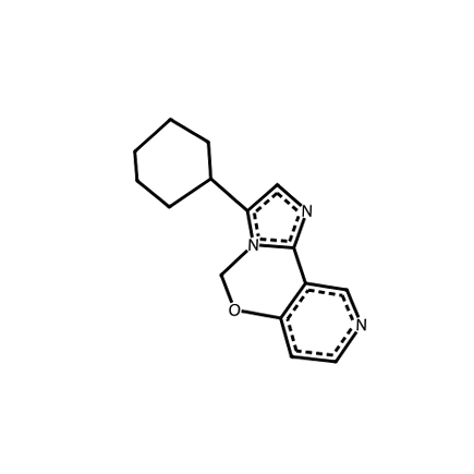 c1cc2c(cn1)-c1ncc(C3CCCCC3)n1CO2